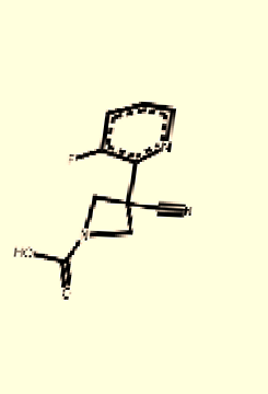 N#CC1(c2ncccc2F)CN(C(=O)O)C1